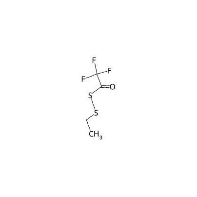 CCSSC(=O)C(F)(F)F